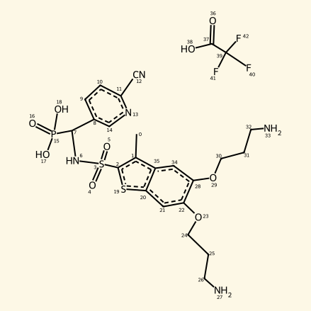 Cc1c(S(=O)(=O)NC(c2ccc(C#N)nc2)P(=O)(O)O)sc2cc(OCCCN)c(OCCCN)cc12.O=C(O)C(F)(F)F